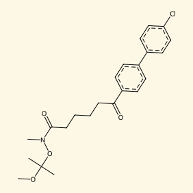 COC(C)(C)ON(C)C(=O)CCCCC(=O)c1ccc(-c2ccc(Cl)cc2)cc1